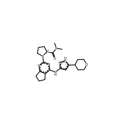 CN(C)C(=O)[C@@H]1CCCN1c1nc2c(c(Nc3cc(C4CCOCC4)[nH]n3)n1)CCC2